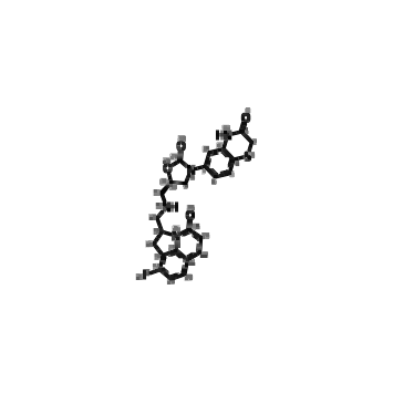 O=C1CSc2ccc(N3C[C@@H](CNCC4Cc5c(F)ccc6ccc(=O)n4c56)OC3=O)cc2N1